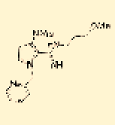 CNc1ccn(Cc2ccccn2)c1C(=N)NCCCOC